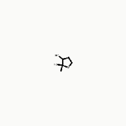 CC1(O)OCCC1O